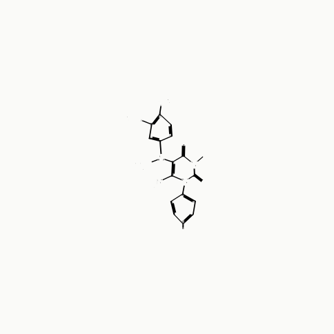 CC(=O)Oc1ccc(N(C(=O)O)c2c(N)n(-c3ccc(F)cc3)c(=O)n(C)c2=O)cc1OC(C)=O